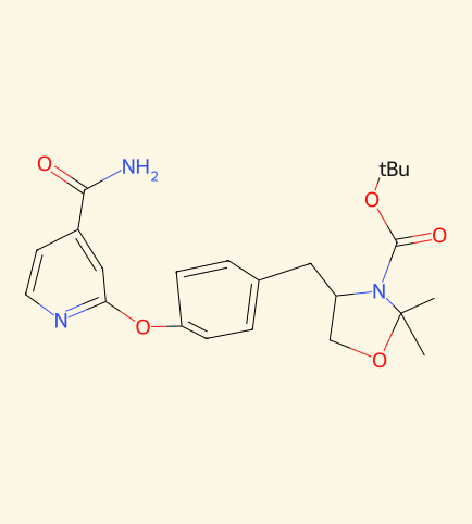 CC(C)(C)OC(=O)N1C(Cc2ccc(Oc3cc(C(N)=O)ccn3)cc2)COC1(C)C